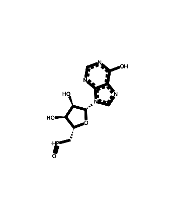 O=[PH]C[C@H]1O[C@@H](n2cnc3c(O)ncnc32)[C@H](O)[C@@H]1O